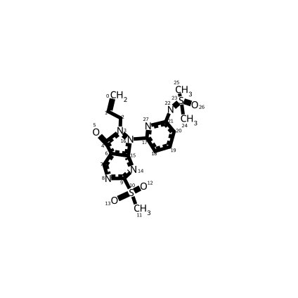 C=CCn1c(=O)c2cnc(S(C)(=O)=O)nc2n1-c1cccc(N=S(C)(C)=O)n1